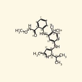 CONC(=O)c1ccccc1Nc1cc(Nc2cc(C)nn2C(C)C)ncc1Cl.Cl